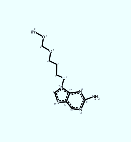 CC(C)OCOCCCOn1cnc2cnc(N)nc21